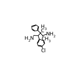 CC(N)C(C)(c1ccccc1)C(CN)c1ccc(Cl)cc1